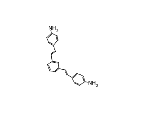 Nc1ccc(C=Cc2cccc(C=Cc3ccc(N)cc3)c2)cc1